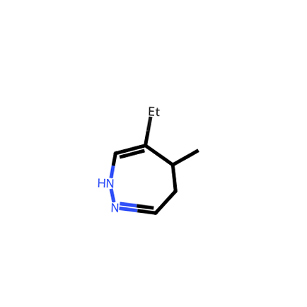 CCC1=CNN=CCC1C